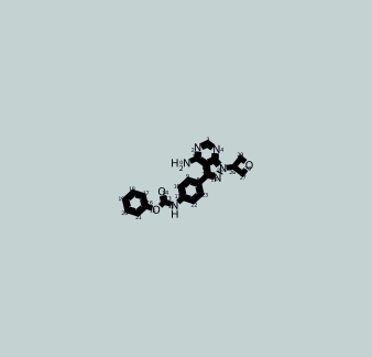 Nc1ncnc2c1c(-c1ccc(NC(=O)Oc3ccccc3)cc1)nn2C1COC1